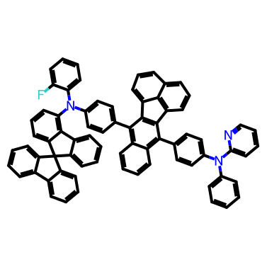 Fc1ccccc1N(c1ccc(-c2c3c(c(-c4ccc(N(c5ccccc5)c5ccccn5)cc4)c4ccccc24)-c2cccc4cccc-3c24)cc1)c1cccc2c1-c1ccccc1C21c2ccccc2-c2ccccc21